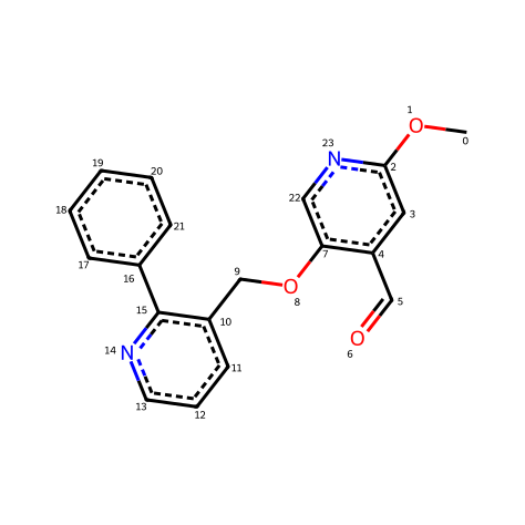 COc1cc(C=O)c(OCc2cccnc2-c2ccccc2)cn1